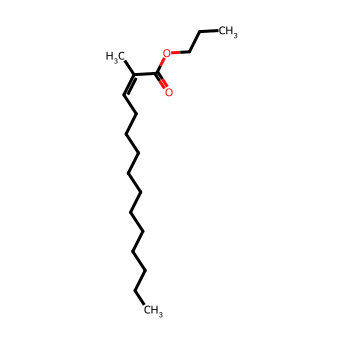 CCCCCCCCCCCC=C(C)C(=O)OCCC